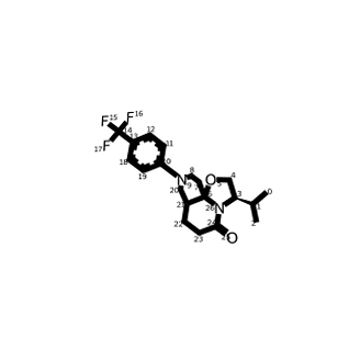 CC(C)[C@@H]1COC23CCN(c4ccc(C(F)(F)F)cc4)CC2CCC(=O)N13